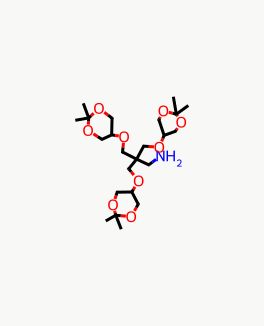 CC1(C)OCC(OCC(CN)(COC2COC(C)(C)OC2)COC2COC(C)(C)OC2)CO1